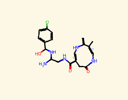 C=C1N/C=C(/C(=O)NCC(N)NC(O)c2ccc(Cl)cc2)CC(=O)N/C=C\1C